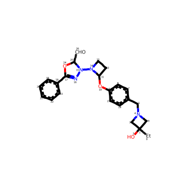 CCC1(O)CN(Cc2ccc(OC3CCN3N3N=C(c4ccccc4)OC3C=O)cc2)C1